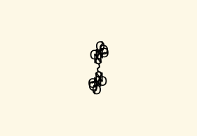 CCOC(=O)CN(COC)C(=O)N1CCC(CCC2CCN(C(=O)N(COC)CC(=O)OCC)CC2)CC1